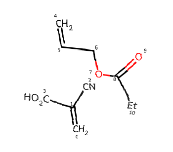 C=C(C#N)C(=O)O.C=CCOC(=O)CC